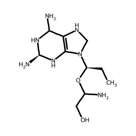 CC[C@@H](OC(N)CO)N1CNC2=C1N[C@@H](N)NC2N